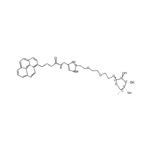 C[C@@H]1O[C@@H](OCCOCCOCCN2NC=C(CNC(=O)CCCc3ccc4ccc5cccc6ccc3c4c56)N2)[C@@H](O)[C@H](O)[C@@H]1O